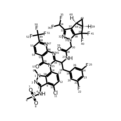 Cn1nc(NS(C)(=O)=O)c2c(Cl)ccc(-n3c(C(Cc4cc(F)cc(F)c4)NC(=O)Cn4nc(C(F)F)c5c4C(F)(F)[C@@H]4C[C@H]54)nc4nc(C(F)(F)F)ccc4c3=O)c21